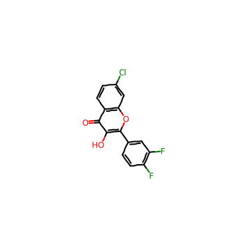 O=c1c(O)c(-c2ccc(F)c(F)c2)oc2cc(Cl)ccc12